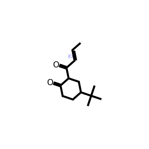 C/C=C/C(=O)C1CC(C(C)(C)C)CCC1=O